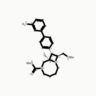 COC[C@@H]1[C@@H](c2ccc(-c3cccc(C)c3)cc2)[C@@H]2CN(C(=O)OC)CCCCN12